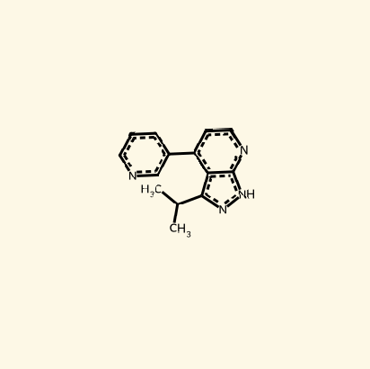 CC(C)c1n[nH]c2nccc(-c3cccnc3)c12